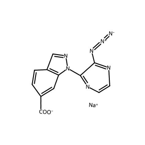 [N-]=[N+]=Nc1nccnc1-n1ncc2ccc(C(=O)[O-])cc21.[Na+]